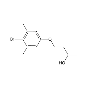 Cc1cc(OCCC(C)O)cc(C)c1Br